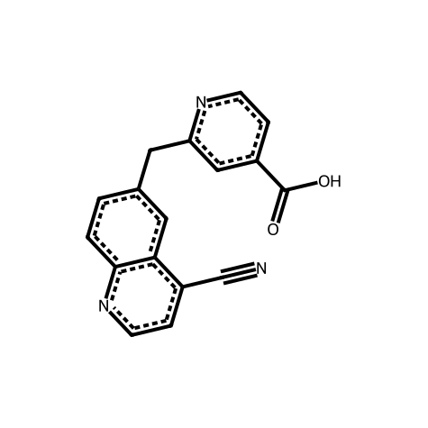 N#Cc1ccnc2ccc(Cc3cc(C(=O)O)ccn3)cc12